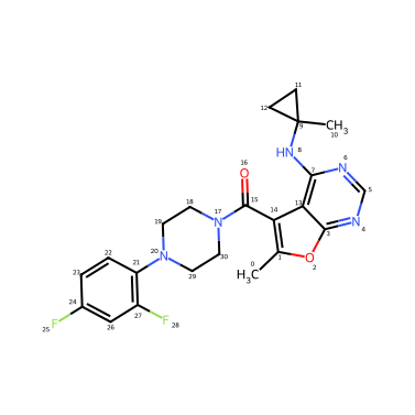 Cc1oc2ncnc(NC3(C)CC3)c2c1C(=O)N1CCN(c2ccc(F)cc2F)CC1